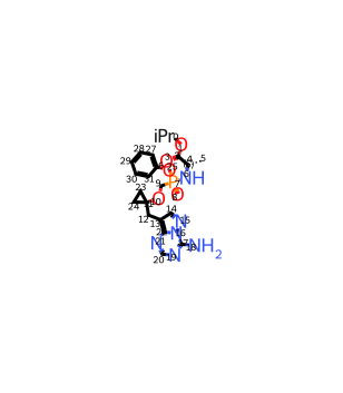 CC(C)OC(=O)[C@H](C)NP(=O)(COC1(Cc2cnn3c(N)ncnc23)CC1)Oc1ccccc1